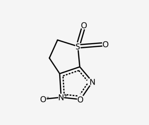 O=S1(=O)CCc2c1no[n+]2[O-]